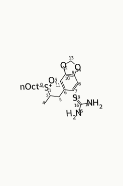 CCCCCCCC[S+]([O-])C(C)Cc1ccc2c(c1)OCO2.NC(N)=S